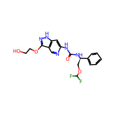 O=C(Nc1cc2[nH]nc(OCCO)c2cn1)N[C@H](COC(F)F)c1ccccc1